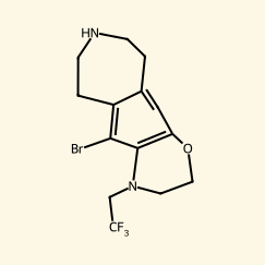 FC(F)(F)CN1CCOc2cc3c(c(Br)c21)CCNCC3